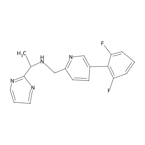 CC(NCc1ccc(-c2c(F)cccc2F)cn1)c1ncccn1